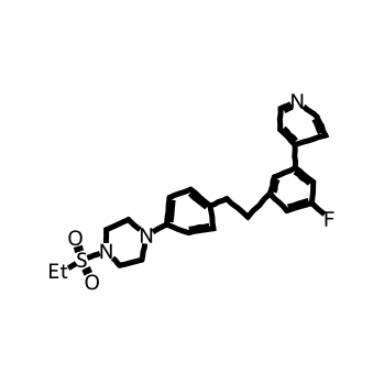 CCS(=O)(=O)N1CCN(c2ccc(CCc3cc(F)cc(-c4ccncc4)c3)cc2)CC1